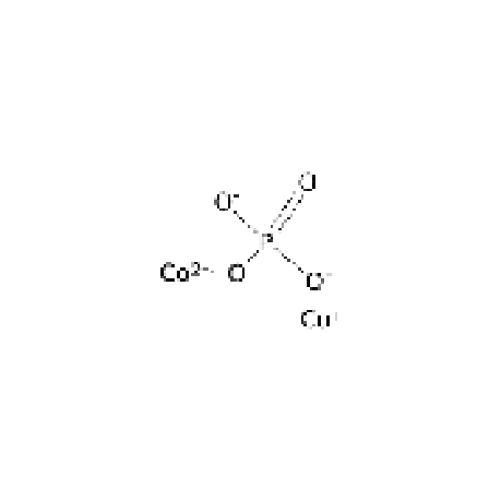 O=P([O-])([O-])[O-].[Co+2].[Cu+]